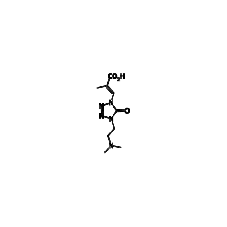 CC(=Cn1nnn(CCN(C)C)c1=O)C(=O)O